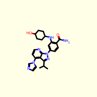 CC(C)c1nn(-c2ccc(C(N)=O)c(NC3CCC(O)CC3)c2)c2nccc(-n3ccnc3)c12